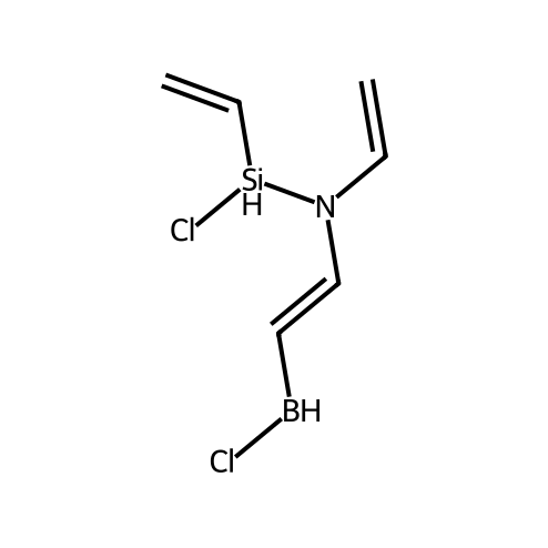 C=CN(C=CBCl)[SiH](Cl)C=C